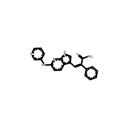 NC(=O)C(=Cc1c[nH]c2nc(Nc3cccnc3)ccc12)c1ccccc1